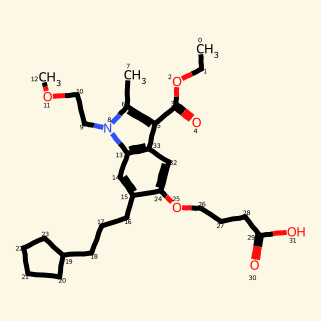 CCOC(=O)c1c(C)n(CCOC)c2cc(CCCC3CCCC3)c(OCCCC(=O)O)cc12